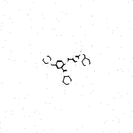 CN(CC1CCOCC1)c1nc(C(=O)Nc2ccc(CN3CCOCC3)cc2C(=O)NC2CCOCC2)cs1